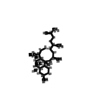 CC(=O)CC[C@@H](C)[C@H]1CC[C@H](C)[C@@H]2CC[C@@H]3C[C@H](O)CC[C@]3(C)[C@H]2C[C@H](O)C1